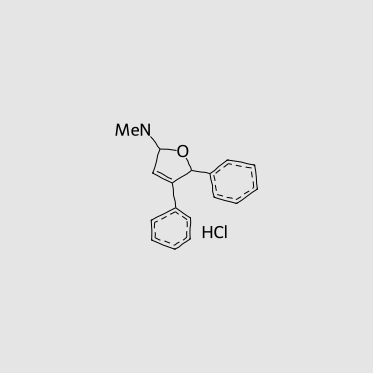 CNC1C=C(c2ccccc2)C(c2ccccc2)O1.Cl